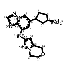 Cl.NC1CCC(c2cc(Nc3cc4n(n3)CCOC4)c3ncnn3c2)C1